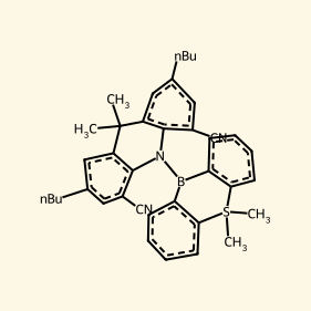 CCCCc1cc(C#N)c2c(c1)C(C)(C)c1cc(CCCC)cc(C#N)c1N2B1c2ccccc2S(C)(C)c2ccccc21